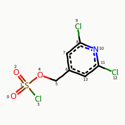 O=S(=O)(Cl)OCc1cc(Cl)nc(Cl)c1